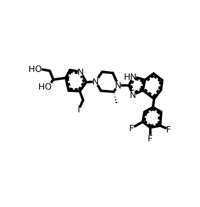 C[C@@H]1CN(c2ncc(C(O)CO)cc2CI)CCN1c1nc2c(-c3cc(F)c(F)c(F)c3)cccc2[nH]1